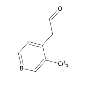 Cc1cbccc1CC=O